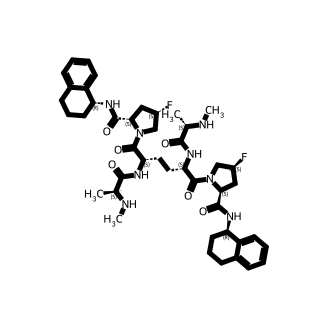 CN[C@@H](C)C(=O)N[C@@H](CC[C@H](NC(=O)[C@H](C)NC)C(=O)N1C[C@@H](F)C[C@H]1C(=O)N[C@@H]1CCCc2ccccc21)C(=O)N1C[C@@H](F)C[C@H]1C(=O)N[C@@H]1CCCc2ccccc21